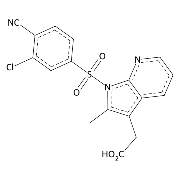 Cc1c(CC(=O)O)c2cccnc2n1S(=O)(=O)c1ccc(C#N)c(Cl)c1